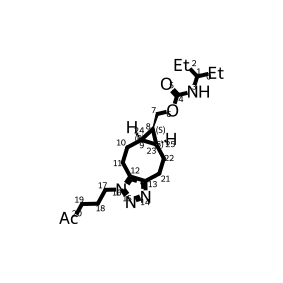 CCC(CC)NC(=O)OC[C@@H]1[C@@H]2CCc3c(nnn3CCCC(C)=O)CC[C@@H]21